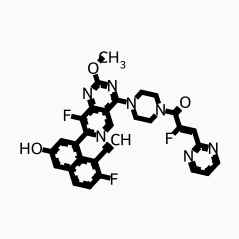 C#Cc1c(F)ccc2cc(O)cc(-c3ncc4c(N5CCN(C(=O)/C(F)=C/c6ncccn6)CC5)nc(OC)nc4c3F)c12